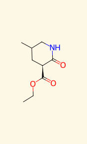 CCOC(=O)[C@H]1CC(C)CNC1=O